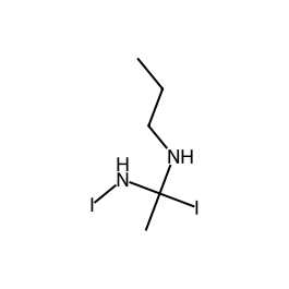 CCCNC(C)(I)NI